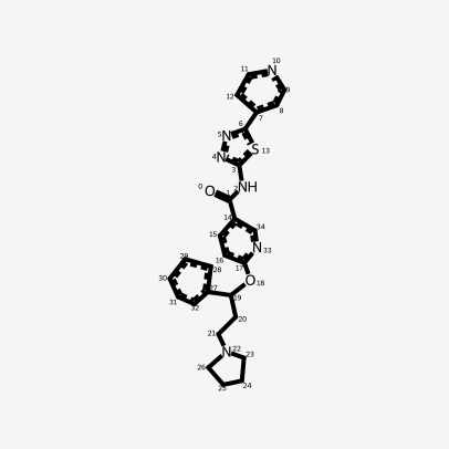 O=C(Nc1nnc(-c2ccncc2)s1)c1ccc(OC(CCN2CCCC2)c2ccccc2)nc1